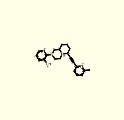 Cc1cccc(C#CC2CCCC3CN(c4ncccc4C#N)CCN23)n1